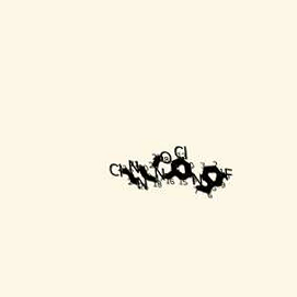 Fc1ccc2c(ccn2-c2cc(Cl)c3c(c2)CN(Cc2cnc(Cl)cn2)CCO3)c1